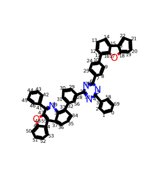 c1ccc(-c2nc(-c3ccc(-c4cccc5c4oc4ccccc45)cc3)nc(-c3cccc(-c4cccc5c4nc(-c4ccccc4)c4oc6ccccc6c45)c3)n2)cc1